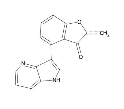 C=C1Oc2cccc(-c3c[nH]c4cccnc34)c2C1=O